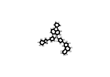 c1ccc2c(c1)-c1cccc3c(N(c4ccc(-c5ccc6ccc7ccccc7c6c5)cc4)c4ccc(-c5cc6ccccc6s5)cc4)ccc-2c13